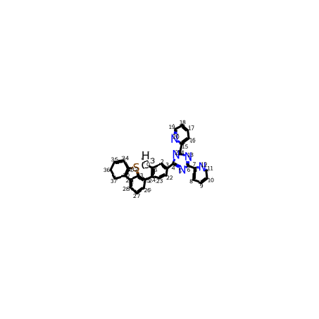 Cc1cc(-c2nc(-c3ccccn3)nc(-c3ccccn3)n2)ccc1-c1cccc2c3c(sc12)C=CCC3